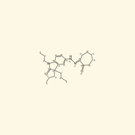 CCCN1C(=O)C(CCC)(CCC)c2cc(N/N=C3\CCCCCC3=O)ccc21